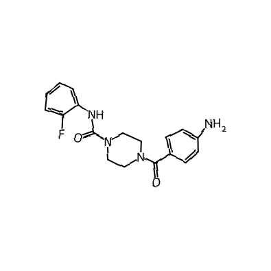 Nc1ccc(C(=O)N2CCN(C(=O)Nc3ccccc3F)CC2)cc1